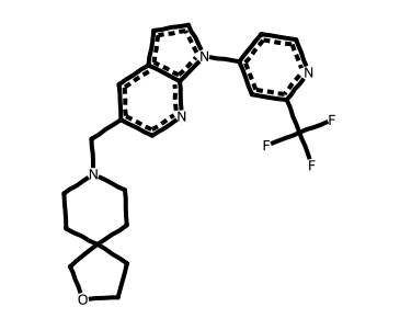 FC(F)(F)c1cc(-n2ccc3cc(CN4CCC5(CCOC5)CC4)cnc32)ccn1